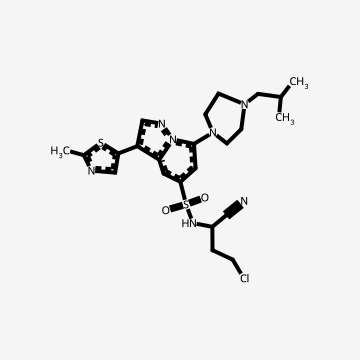 Cc1ncc(-c2cnn3c(N4CCN(CC(C)C)CC4)cc(S(=O)(=O)NC(C#N)CCCl)cc23)s1